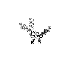 CCCCCCN(CCCCCC)c1ccc(/C(C#N)=C(/C#N)C(=O)OCCOCC)cc1